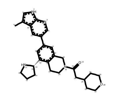 Cc1c[nH]c2ncc(-c3cc4c(c([C@@H]5CCCN5)c3)CCN(C(=O)CC3CCOCC3)C4)cc12